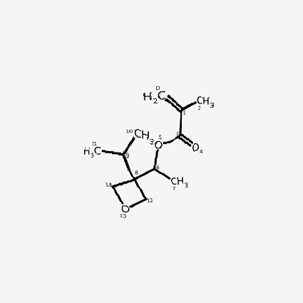 C=C(C)C(=O)OC(C)C1(C(C)C)COC1